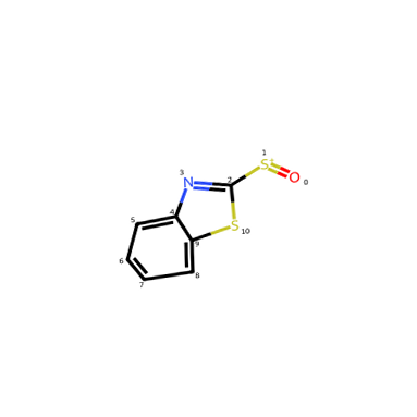 O=[S+]c1nc2ccccc2s1